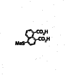 CSc1ccc(C(=O)O)c2c(C(=O)O)cccc12